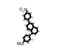 CC(C)(C)c1ccc(-c2cccc3cc(-c4ccc([N+](=O)[O-])cc4)ccc23)cc1